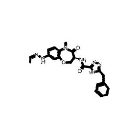 C/C=N\Nc1ccc2c(c1)OC[C@H](NC(=O)c1nnc(Cc3ccccc3)[nH]1)C(=O)N2C